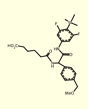 COCc1ccc(C(NC(=O)CCCCC(=O)O)C(=O)Nc2cc(F)c([Si](C)(C)C)c(F)c2)cc1